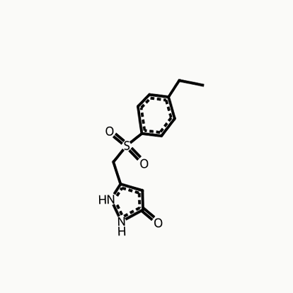 CCc1ccc(S(=O)(=O)Cc2cc(=O)[nH][nH]2)cc1